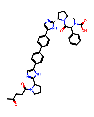 CC(=O)CCC(=O)N1CCCC1c1ncc(-c2ccc(-c3ccc(-c4cnc([C@@H]5CCCN5C(=O)[C@@H](c5ccccc5)N(C)C(=O)O)[nH]4)cc3)cc2)[nH]1